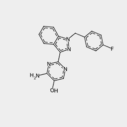 Nc1nc(-c2nn(Cc3ccc(F)cc3)c3ccccc23)ncc1O